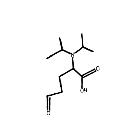 CC(C)N(C(C)C)C(CCC=O)C(=O)O